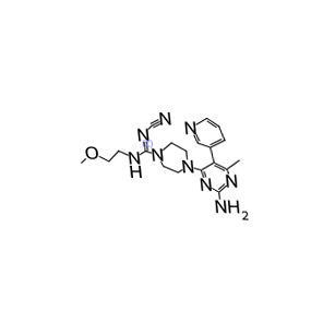 COCCN/C(=N/C#N)N1CCN(c2nc(N)nc(C)c2-c2cccnc2)CC1